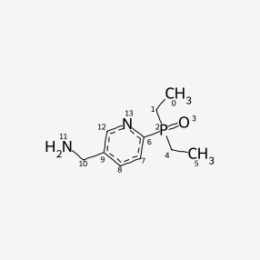 CCP(=O)(CC)c1ccc(CN)cn1